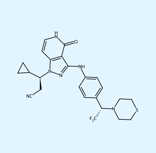 N#CC[C@@H](C1CC1)n1nc(Nc2ccc([C@H](N3CCSCC3)C(F)(F)F)cc2)c2c(=O)[nH]ccc21